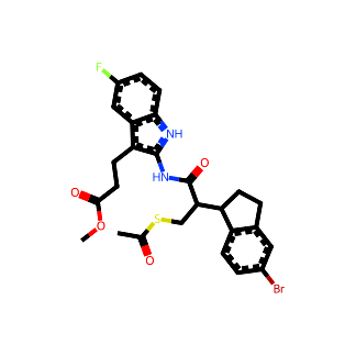 COC(=O)CCc1c(NC(=O)C(CSC(C)=O)C2CCc3cc(Br)ccc32)[nH]c2ccc(F)cc12